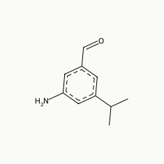 CC(C)c1cc(N)cc(C=O)c1